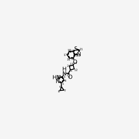 O=C(Nc1cc(C2CC2)n[nH]1)C1CC(Oc2cccc3scnc23)C1